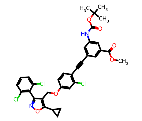 COC(=O)c1cc(C#Cc2ccc(OCc3c(-c4c(Cl)cccc4Cl)noc3C3CC3)cc2Cl)cc(NC(=O)OC(C)(C)C)c1